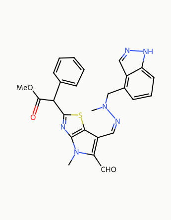 COC(=O)C(c1ccccc1)c1nc2c(s1)c(/C=N\N(C)Cc1cccc3[nH]ncc13)c(C=O)n2C